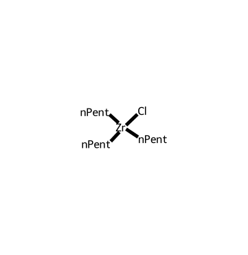 CCCC[CH2][Zr]([Cl])([CH2]CCCC)[CH2]CCCC